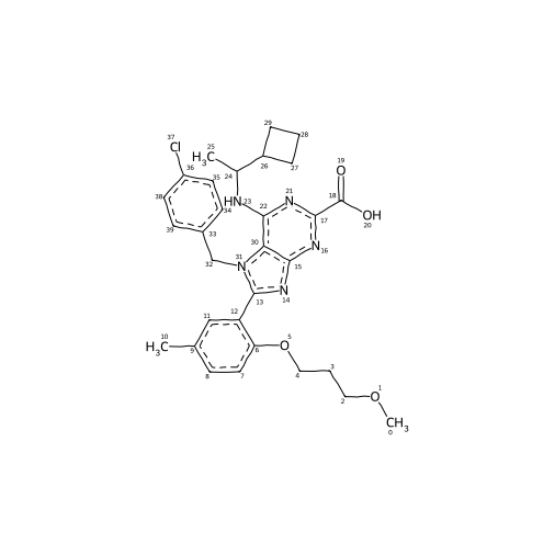 COCCCOc1ccc(C)cc1-c1nc2nc(C(=O)O)nc(NC(C)C3CCC3)c2n1Cc1ccc(Cl)cc1